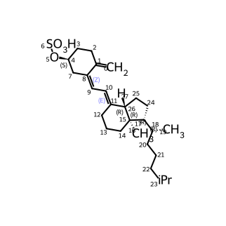 C=C1CC[C@H](OS(=O)(=O)O)C/C1=C/C=C1\CCC[C@]2(C)[C@@H]([C@H](C)CCCC(C)C)CC[C@@H]12